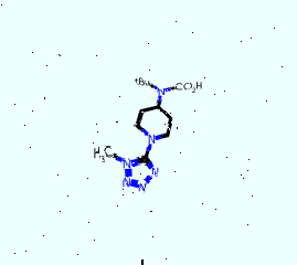 Cn1nnnc1N1CCC(N(C(=O)O)C(C)(C)C)CC1